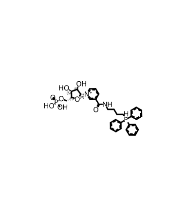 O=C(NCCCC[PH](c1ccccc1)(c1ccccc1)c1ccccc1)c1ccc[n+]([C@@H]2O[C@H](COP(=O)(O)O)[C@@H](O)[C@H]2O)c1